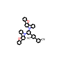 N#Cc1cccc(-c2ccc(-c3cc(-n4c5ccccc5c5c6oc7ccccc7c6ccc54)cc(-n4c5ccccc5c5c6oc7ccccc7c6ccc54)c3)c(C#N)c2)c1